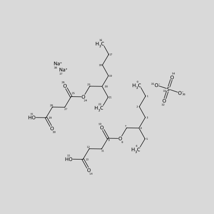 CCCCC(CC)COC(=O)CCC(=O)O.CCCCC(CC)COC(=O)CCC(=O)O.O=S(=O)([O-])[O-].[Na+].[Na+]